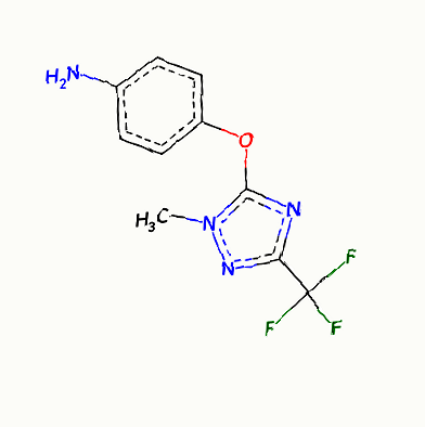 Cn1nc(C(F)(F)F)nc1Oc1ccc(N)cc1